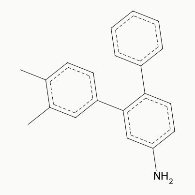 Cc1ccc(-c2cc(N)ccc2-c2ccccc2)cc1C